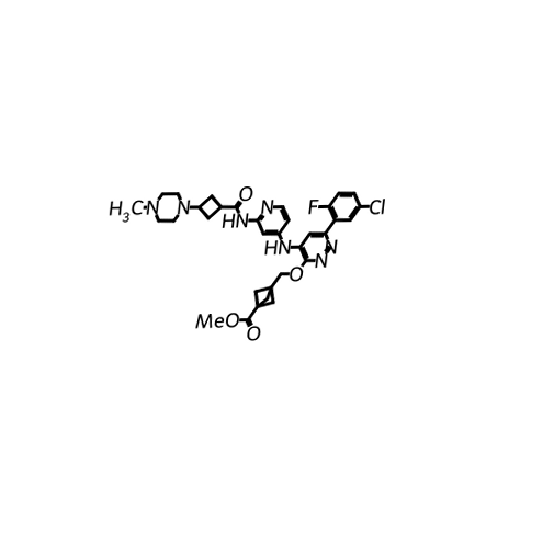 COC(=O)C12CC(COc3nnc(-c4cc(Cl)ccc4F)cc3Nc3ccnc(NC(=O)C4CC(N5CCN(C)CC5)C4)c3)(C1)C2